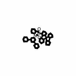 O=c1c2ccccc2n(-c2cc(-c3ccccc3)cc(-c3ccccc3)c2)c(=O)n1-c1cccc2c1-c1ccccc1C21c2ccccc2-c2ccccc21